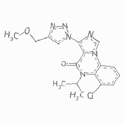 COCc1cn(-c2ncn3c2c(=O)n(C(C)C)c2c(Cl)cccc23)nn1